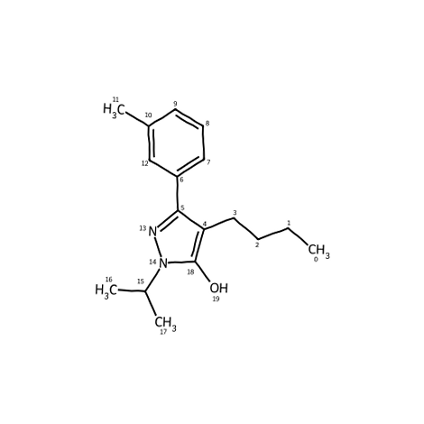 CCCCc1c(-c2cccc(C)c2)nn(C(C)C)c1O